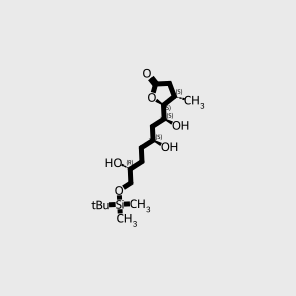 C[C@H]1CC(=O)O[C@@H]1[C@@H](O)C[C@@H](O)CC[C@@H](O)CO[Si](C)(C)C(C)(C)C